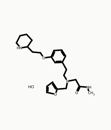 CNC(=O)CN(CCc1cccc(OCCC2CCCCN2)c1)Cc1ccco1.Cl